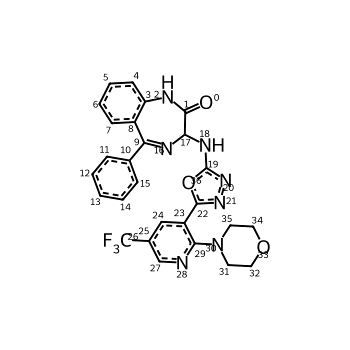 O=C1Nc2ccccc2C(c2ccccc2)=NC1Nc1nnc(-c2cc(C(F)(F)F)cnc2N2CCOCC2)o1